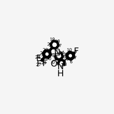 O=C1NC[C@H](c2ccc(F)cc2)C12CCN(C1CCCCC1c1ccc(C(F)(F)F)cc1)CC2